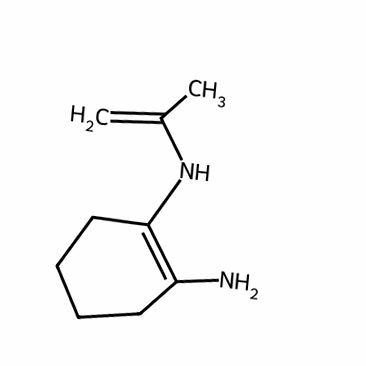 C=C(C)NC1=C(N)CCCC1